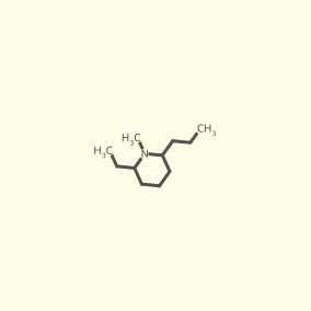 CCCC1CCCC(CC)N1C